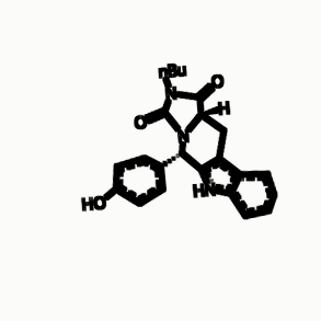 CCCCN1C(=O)[C@@H]2Cc3c([nH]c4ccccc34)[C@H](c3ccc(O)cc3)N2C1=O